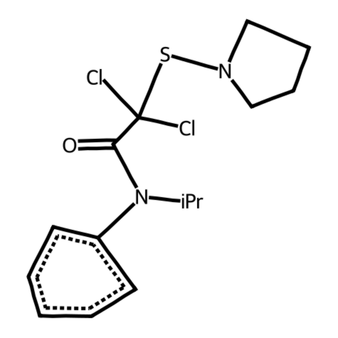 CC(C)N(C(=O)C(Cl)(Cl)SN1CCCC1)c1ccccc1